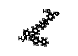 Nc1ncccc1-c1nc2ccc(-c3ccccc3)nc2n1-c1ccc(CN2CCC3(C2)CN(c2ccc(C=O)c(O)c2)C3)cc1